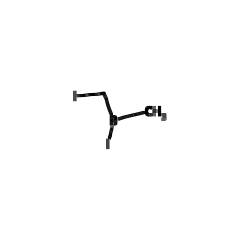 CB(I)CI